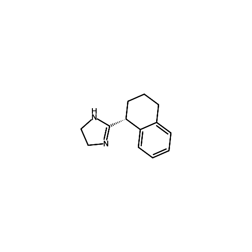 c1ccc2c(c1)CCC[C@H]2C1=NCCN1